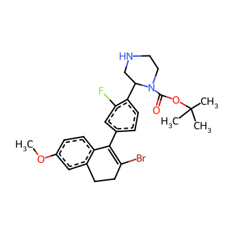 COc1ccc2c(c1)CCC(Br)=C2c1ccc(C2CNCCN2C(=O)OC(C)(C)C)c(F)c1